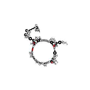 COc1ccc(C2=C[C@H]3C(O)N4C(=O)OCc5ccc(cc5)NC(=O)CNC(C(C)C)C(C)OCCNC(=O)CCC(=O)NCCOCCNCC(=O)Nc5ccc(cc5)COC(=O)N5c6cc(c(OC)cc6C(=O)N6CC(c7ccc(NC(=O)[C@@H]8CCCN8C(=O)[C@@H]8CCCN8C(=O)CCCCCN8C(=O)CC(SNI)C8=O)cc7)=C[C@H]6C5O)OCCCCCOc5cc4c(cc5OC)C(=O)N3C2)cc1